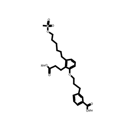 COC(=O)CCc1c(CCCCCCOS(C)(=O)=O)cccc1OCCCc1cccc(C(=O)OC)c1